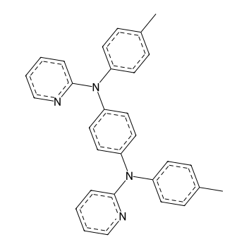 Cc1ccc(N(c2ccc(N(c3ccc(C)cc3)c3ccccn3)cc2)c2ccccn2)cc1